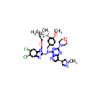 COc1ccc(CN(Cc2nc3cc(Cl)c(Cl)cc3n2COCC[Si](C)(C)C)c2nc(N3CCOCC3)nc3c(-c4cnn(C)c4)cnn23)cc1